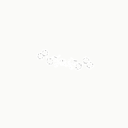 CC1=Cc2c(-c3cccc4ccccc34)cccc2[CH]1[Zr]([Cl])([Cl])[CH2][SiH2][CH2][Zr]([Cl])([Cl])[CH]1C(C)=Cc2c(-c3cccc4ccccc34)cccc21